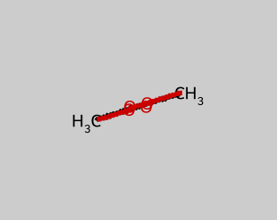 CCCCCCCCCCCCCCCCCCCCOC(=O)CCCCCCCCC(=O)OCCCCCCCCCCCCCCCCCCCC